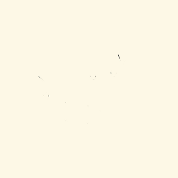 CC(CC1COC(CC2CCC[C@H](C)O2)C1)[C@H](C)OC1CC2CC1C1C3CCC(C3)C21